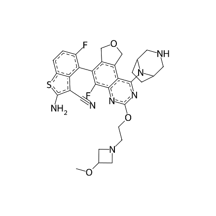 COC1CN(CCOc2nc(N3C4CCC3CNC4)c3c4c(c(-c5c(F)ccc6sc(N)c(C#N)c56)c(F)c3n2)COC4)C1